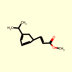 COC(=O)C=CC1C=CC=C(C(C)C)C1